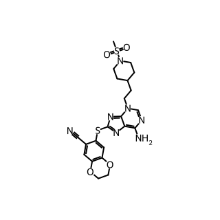 CS(=O)(=O)N1CCC(CCn2cnc(N)c3nc(Sc4cc5c(cc4C#N)OCCO5)nc2-3)CC1